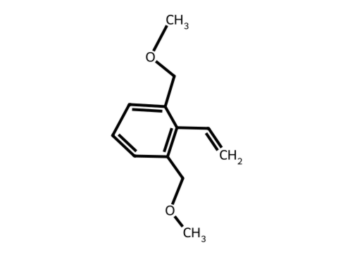 C=Cc1c(COC)cccc1COC